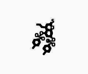 CCCc1cc(=S)oc2cc(OS(=O)(=O)c3ccc(C)cc3)cc(OS(=O)(=O)c3ccc(C)cc3)c12